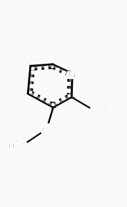 CCCOc1cccnc1[C]=O